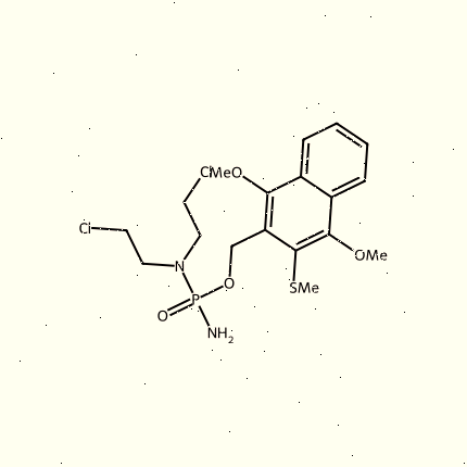 COc1c(COP(N)(=O)N(CCCl)CCCl)c(SC)c(OC)c2ccccc12